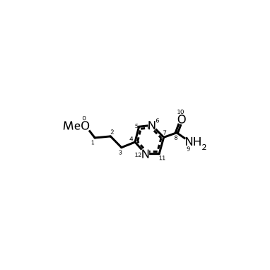 COCCCc1cnc(C(N)=O)cn1